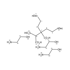 CCCCCCCCCCCCC(CCCCCCCCCCCC)(C(=O)O)C(C(=O)O)S(=O)(=O)O.NCCO.NCCO.NCCO